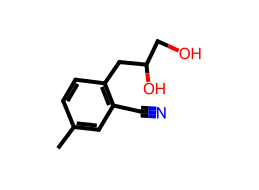 Cc1ccc(CC(O)CO)c(C#N)c1